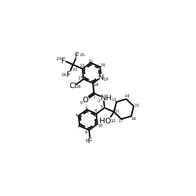 O=C(NC(c1cccc(F)c1)C1(O)CCCCC1)c1nccc(C(F)(F)F)c1Cl